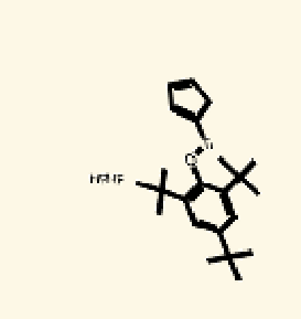 CC(C)(C)c1cc(C(C)(C)C)c([O][Ti][C]2=CC=CC2)c(C(C)(C)C)c1.F.F